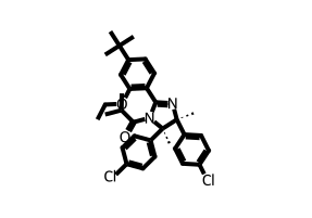 CCOc1cc(C(C)(C)C)ccc1C1=N[C@@](C)(c2ccc(Cl)cc2)[C@@](C)(c2ccc(Cl)cc2)N1C(=O)C(C)C